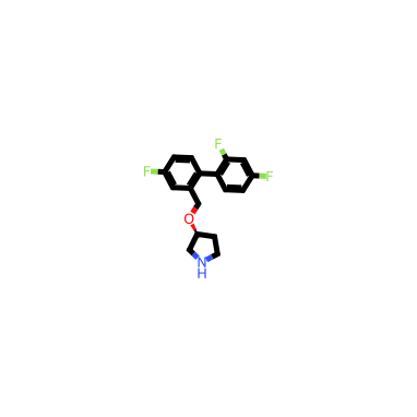 Fc1ccc(-c2ccc(F)cc2CO[C@H]2CCNC2)c(F)c1